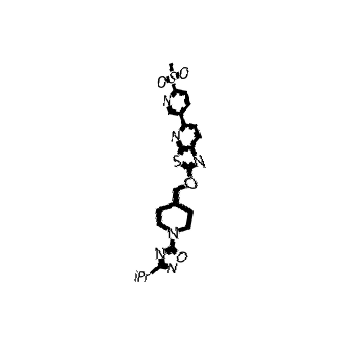 CC(C)c1noc(N2CCC(COc3nc4ccc(-c5ccc(S(C)(=O)=O)nc5)nc4s3)CC2)n1